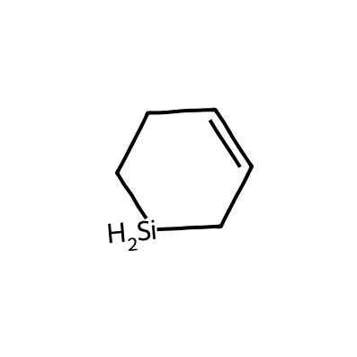 C1=CC[SiH2]CC1